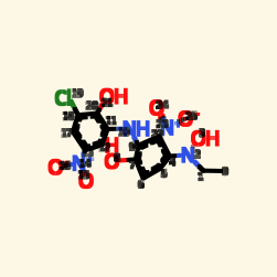 CCN(O)c1ccc(O)c(Nc2cc([N+](=O)[O-])cc(Cl)c2O)c1[N+](=O)[O-]